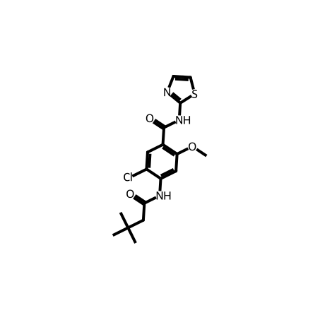 COc1cc(NC(=O)CC(C)(C)C)c(Cl)cc1C(=O)Nc1nccs1